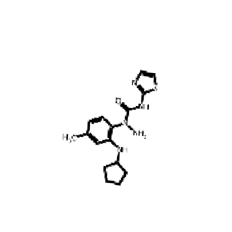 Cc1ccc(N(N)C(=O)Nc2nccs2)c(NC2CCCC2)c1